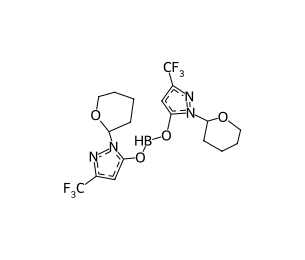 FC(F)(F)c1cc(OBOc2cc(C(F)(F)F)nn2C2CCCCO2)n(C2CCCCO2)n1